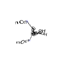 CCCCCCCC/C=C\CCCCCCCC(=O)OCC(CNS(=O)(=O)OCCN(CCO)CCO)OC(=O)CCCCCCC/C=C\CCCCCCCC